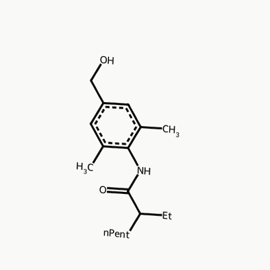 CCCCCC(CC)C(=O)Nc1c(C)cc(CO)cc1C